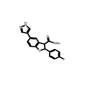 CNC(=O)C1c2cc(-c3cn[nH]c3)ccc2OC1c1ccc(F)cc1